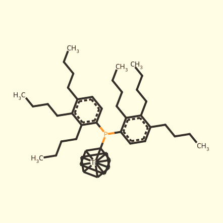 CCCCc1ccc(P(c2ccc(CCCC)c(CCCC)c2CCCC)[C]23[CH]4[CH]5[CH]6[CH]2[Ti]56432789[CH]3[CH]2[CH]7[CH]8[CH]39)c(CCCC)c1CCCC